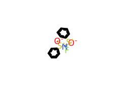 [O-][S+](c1ccccc1)N(F)[S+]([O-])c1ccccc1